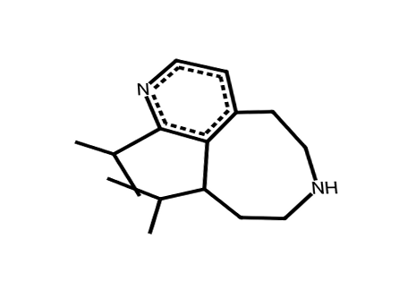 CC(C)c1nccc2c1C(C(C)C)CCNCC2